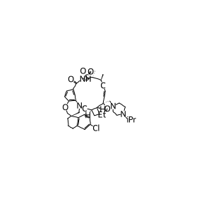 CCO[C@]1(CN2CCN(C(C)C)CC2)/C=C/C[C@H](C)[C@@H](C)S(=O)(=O)NC(=O)c2ccc3c(c2)N(C[C@@H]2CC[C@H]21)C[C@@]1(CCCc2cc(Cl)ccc21)CO3